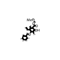 C=Cc1c(C)c(C(=O)OCOC)c(O)c(C)c1OCc1ccccc1